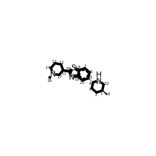 C[C@H]1CC[C@H](c2ccc3sc(C4CCCN(C)C4)nc3c2)NC1